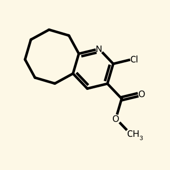 COC(=O)c1cc2c(nc1Cl)CCCCCC2